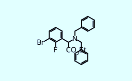 CCOC(=O)C(c1cccc(Br)c1F)N(Cc1ccccc1)Cc1ccccc1